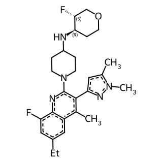 CCc1cc(F)c2nc(N3CCC(N[C@@H]4CCOC[C@H]4F)CC3)c(-c3cc(C)n(C)n3)c(C)c2c1